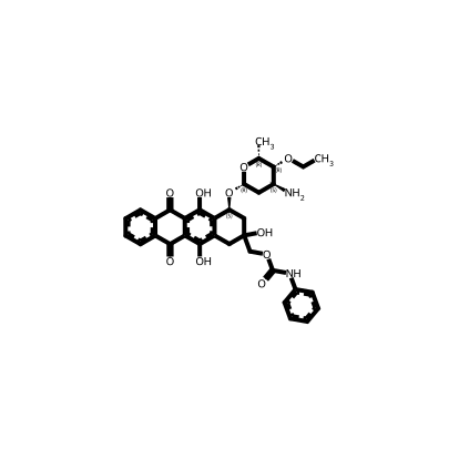 CCO[C@@H]1[C@@H](N)C[C@H](O[C@H]2CC(O)(COC(=O)Nc3ccccc3)Cc3c(O)c4c(c(O)c32)C(=O)c2ccccc2C4=O)O[C@@H]1C